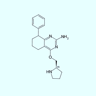 Nc1nc(OC[C@H]2CCCN2)c2c(n1)C(c1ccccc1)CCC2